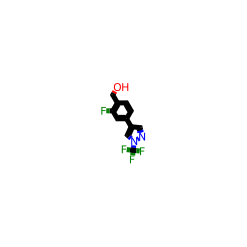 OCc1ccc(-c2cnn(C(F)(F)F)c2)cc1F